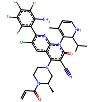 C=CC(=O)N1CCN(c2c(C#N)c(=O)n(C3=C(C)C=CNC3C(C)C)c3nc(-c4c(N)c(Cl)c(Cl)c(F)c4F)c(Cl)cc23)C[C@H]1C